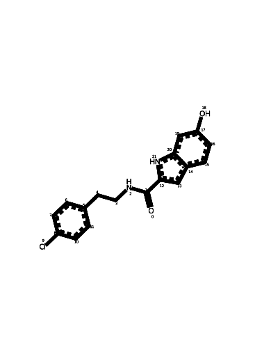 O=C(NCCc1ccc(Cl)cc1)c1cc2ccc(O)cc2[nH]1